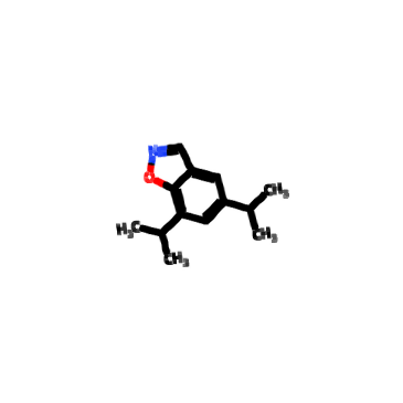 CC(C)c1cc(C(C)C)c2oncc2c1